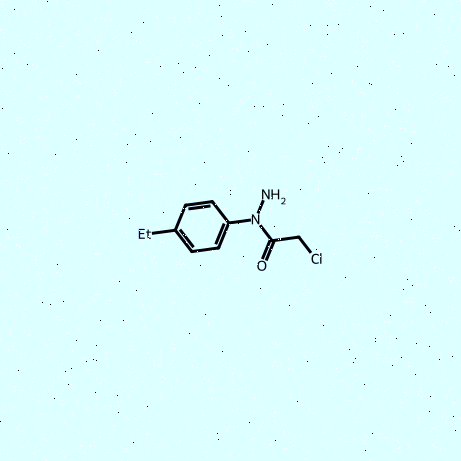 CCc1ccc(N(N)C(=O)CCl)cc1